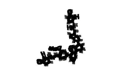 COc1nc(-c2cccc(-c3cccc(-c4ccn5c(CNC[C@@H]6CCC(=O)N6)cnc5c4)c3Cl)c2Cl)ccc1CNC[C@@H]1CCC(=O)N1